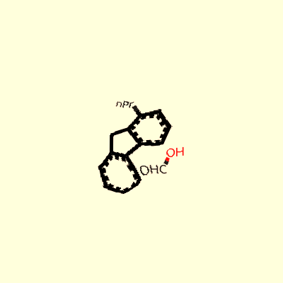 CCCc1cccc2c1Cc1ccccc1-2.O=CO